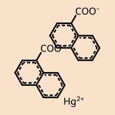 O=C([O-])c1cccc2ccccc12.O=C([O-])c1cccc2ccccc12.[Hg+2]